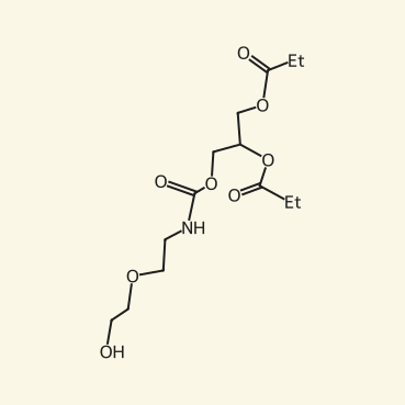 CCC(=O)OCC(COC(=O)NCCOCCO)OC(=O)CC